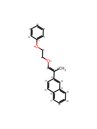 CC(=COCCOc1ccccc1)c1ccc2ccccc2c1